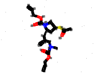 C=CCOC(=O)N(C)CC(=C)C[C@H]1C[C@H](SC(C)=O)CN1C(=O)OCC=C